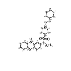 CC(c1ccc2c(c1)Nc1ccccc1S2)S(=O)(=O)N1CCN(CCc2ccccc2)CC1